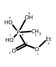 CCOC(=O)P(C)(O)(O)O